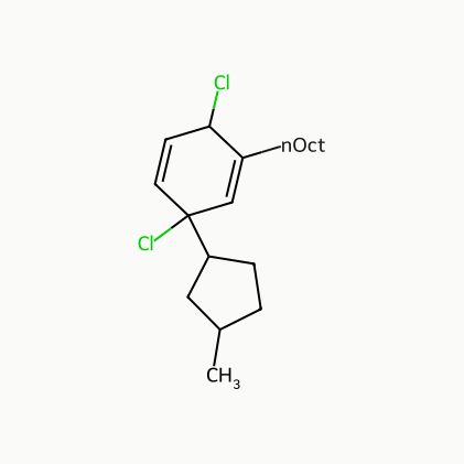 CCCCCCCCC1=CC(Cl)(C2CCC(C)C2)C=CC1Cl